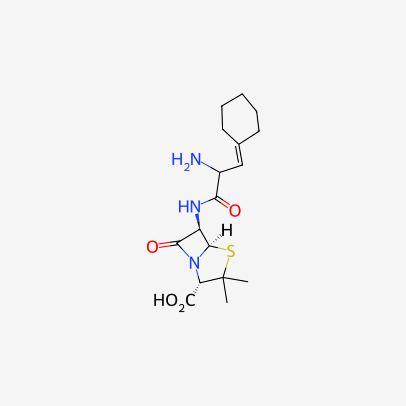 CC1(C)S[C@@H]2[C@H](NC(=O)C(N)C=C3CCCCC3)C(=O)N2[C@H]1C(=O)O